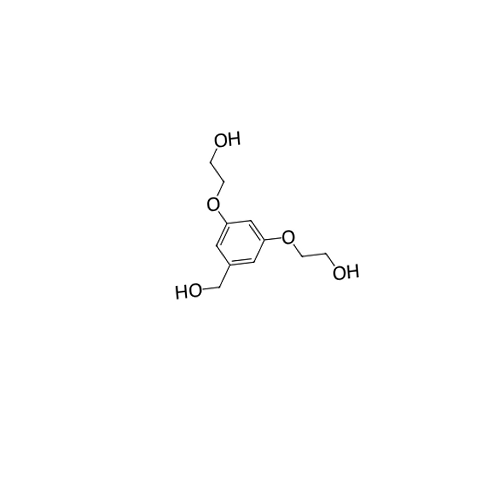 OCCOc1cc(CO)cc(OCCO)c1